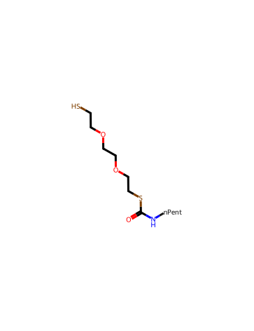 CCCCCNC(=O)SCCOCCOCCS